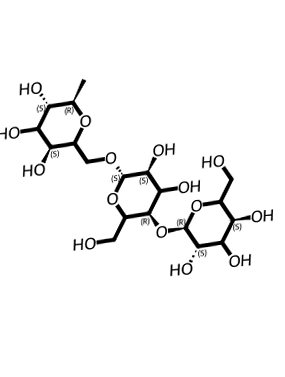 C[C@H]1OC(CO[C@H]2OC(CO)[C@H](O[C@H]3OC(CO)[C@@H](O)C(O)[C@@H]3O)C(O)[C@@H]2O)[C@@H](O)C(O)[C@@H]1O